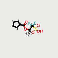 CC(OC(=O)C1CCCC1)C(F)(F)S(=O)(=O)O